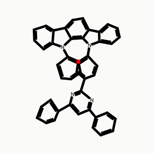 c1ccc(-c2cc(-c3ccccc3)nc(-c3ccc(-n4c5ccccc5c5ccc6c7ccccc7n(-c7ccccc7)c6c54)cc3)n2)cc1